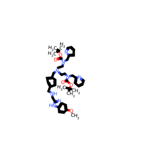 COc1ccc2[nH]c(CNCc3ccc(CN(CCN(Cc4ccccn4)C(=O)OC(C)(C)C)CCN(Cc4ccccn4)C(=O)OC(C)(C)C)cc3)nc2c1